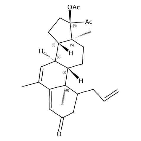 C=CCC1CC(=O)C=C2C(C)=C[C@H]3[C@@H]4CC[C@](OC(C)=O)(C(C)=O)[C@@]4(C)CC[C@@H]3[C@]21C